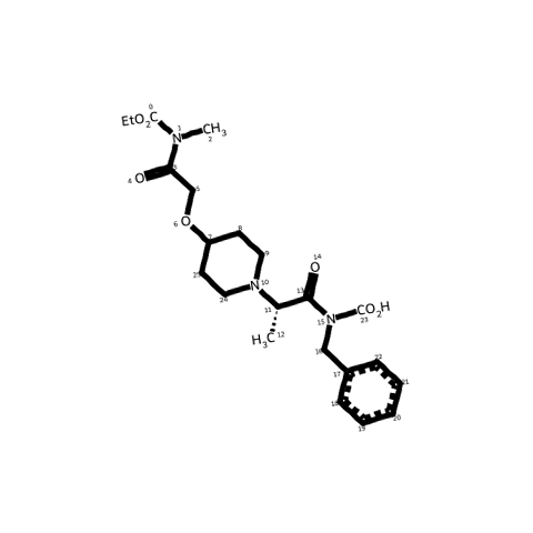 CCOC(=O)N(C)C(=O)COC1CCN([C@@H](C)C(=O)N(Cc2ccccc2)C(=O)O)CC1